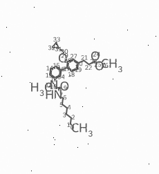 CCCCCCCNC(=O)N(C)c1cccc(-c2ccc(CCC(=O)OC)cc2OCC2CC2)c1